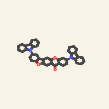 O=c1c2ccc(-n3c4ccccc4c4ccccc43)cc2oc2cc3c(cc12)oc1ccc(-n2c4ccccc4c4ccccc42)cc13